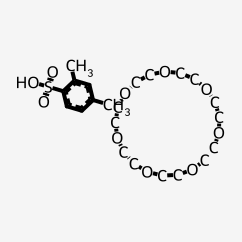 C1COCCOCCOCCOCCOCCOCCO1.Cc1ccc(S(=O)(=O)O)c(C)c1